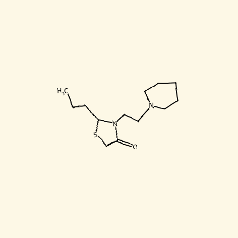 CCCC1SCC(=O)N1CCN1CCCCC1